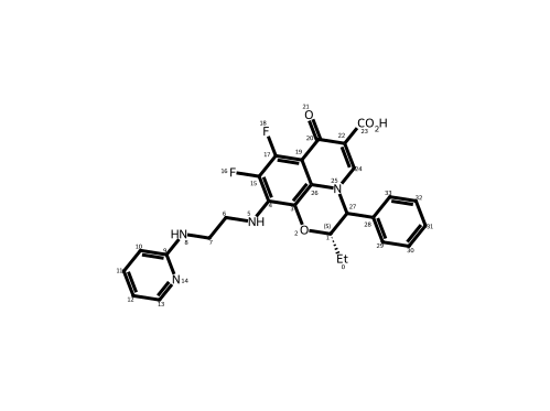 CC[C@@H]1Oc2c(NCCNc3ccccn3)c(F)c(F)c3c(=O)c(C(=O)O)cn(c23)C1c1ccccc1